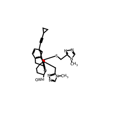 COC1CCC2(CC1)Cc1ccc(C#CC3CC3)cc1C21N=C(SCc2nncn2C)N(Cc2nncn2C)C1=O